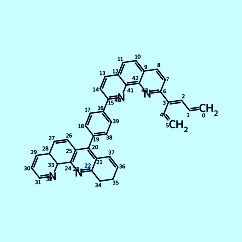 C=C/C=C(\C=C)c1ccc2ccc3ccc(-c4ccc(-c5c6c(nc7c5C=CC5C=CC=NC75)CCC=C6)cc4)nc3c2n1